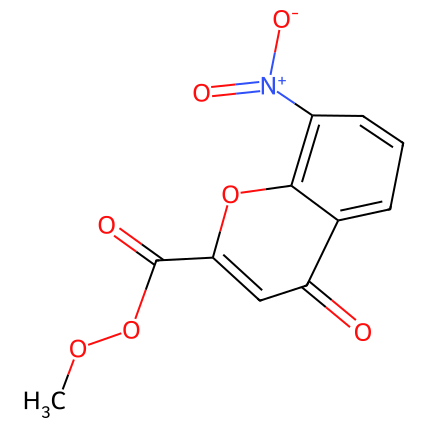 COOC(=O)c1cc(=O)c2cccc([N+](=O)[O-])c2o1